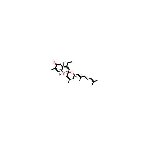 CCC1=C[C@@]2(C=C(C)C[C@H](/C=C(\C)CCC=C(C)C)O2)O[C@H]2C=C(C)C(=O)C[C@@H]12